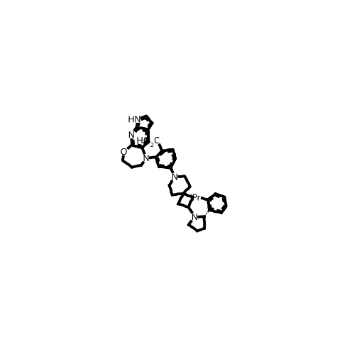 CC(C)c1ccccc1[C@@H]1CCCN1C1CC2(CCN(c3ccc(C(=O)O)c(N4CCCOc5nc6[nH]ccc6cc54)c3)CC2)C1